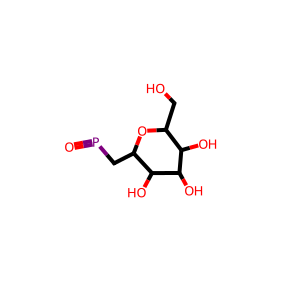 O=PCC1OC(CO)C(O)C(O)C1O